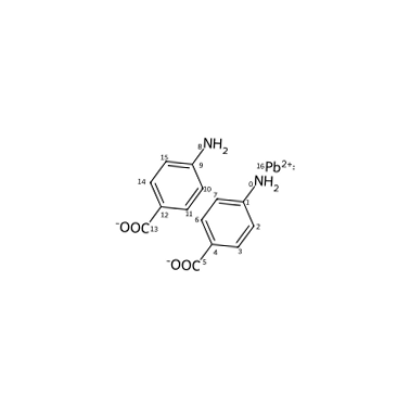 Nc1ccc(C(=O)[O-])cc1.Nc1ccc(C(=O)[O-])cc1.[Pb+2]